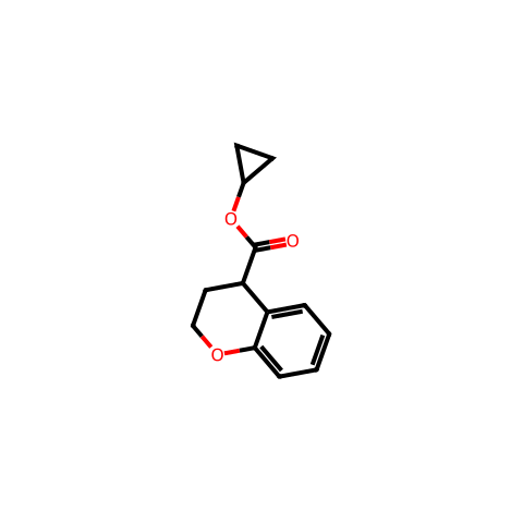 O=C(OC1CC1)C1CCOc2ccccc21